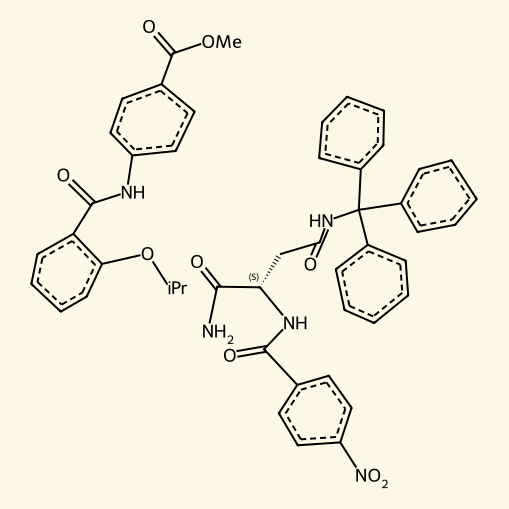 COC(=O)c1ccc(NC(=O)c2ccccc2OC(C)C)cc1.NC(=O)[C@H](CC(=O)NC(c1ccccc1)(c1ccccc1)c1ccccc1)NC(=O)c1ccc([N+](=O)[O-])cc1